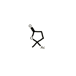 CC(=O)C1(C)CCC(=O)O1